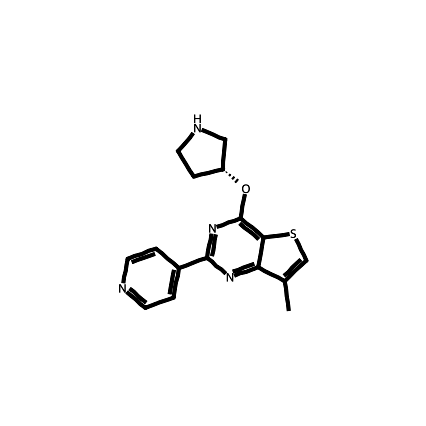 Cc1csc2c(O[C@@H]3CCNC3)nc(-c3ccncc3)nc12